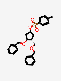 Cc1ccc(S(=O)(=O)O[C@@H]2C[C@H](COCc3ccccc3)[C@@H](OCc3ccccc3)C2)cc1